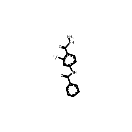 NNC(=O)c1ccc(NC(=O)c2ccccc2)cc1C(F)(F)F